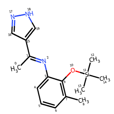 C/C(=N\c1cccc(C)c1O[Si](C)(C)C)c1cn[nH]c1